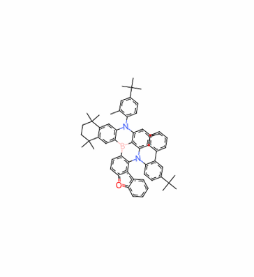 Cc1cc2c3c(c1)N(c1ccc(C(C)(C)C)cc1-c1ccccc1)c1c(ccc4oc5ccccc5c14)B3c1cc3c(cc1N2c1ccc(C(C)(C)C)cc1C)C(C)(C)CCC3(C)C